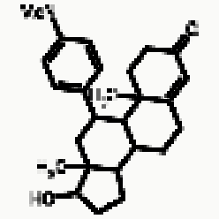 CNc1ccc(C2CC3(C)C(O)CCC3C3CCC4=CC(=O)CCC4(C)C23)cc1